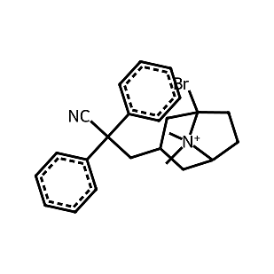 C[N+]1(C)C2CCC1(Br)CC(CC(C#N)(c1ccccc1)c1ccccc1)C2